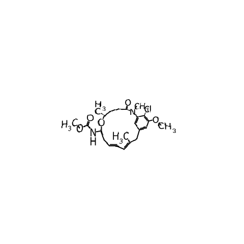 COC(=O)NC1C/C=C/C=C(\C)Cc2cc(OC)c(Cl)c(c2)N(C)C(=O)CC[C@H](C)O1